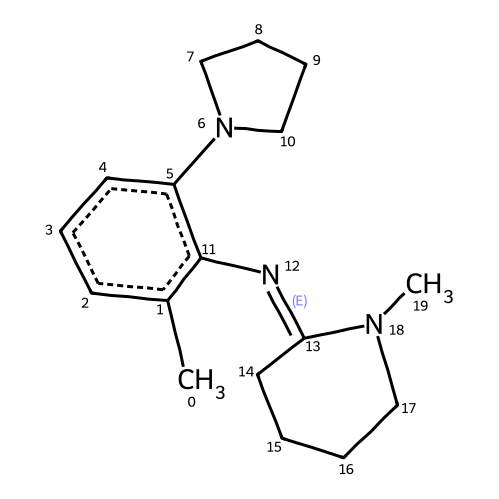 Cc1cccc(N2CCCC2)c1/N=C1\CCCCN1C